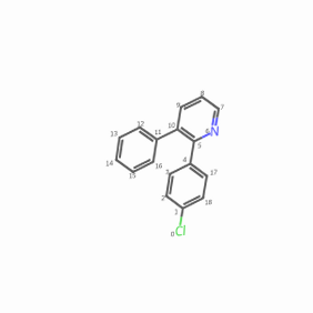 Clc1ccc(-c2ncc[c]c2-c2ccccc2)cc1